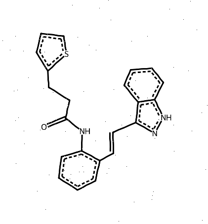 O=C(CCc1cccs1)Nc1ccccc1C=Cc1n[nH]c2ccccc12